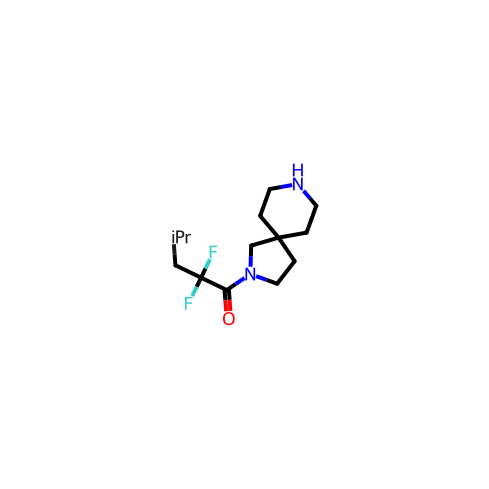 CC(C)CC(F)(F)C(=O)N1CCC2(CCNCC2)C1